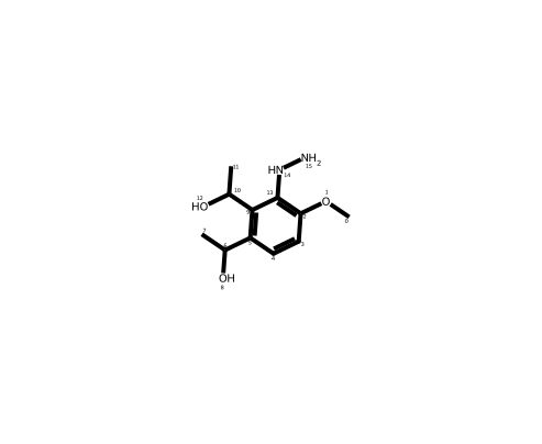 COc1ccc(C(C)O)c(C(C)O)c1NN